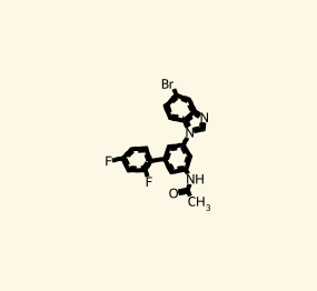 CC(=O)Nc1cc(-c2ccc(F)cc2F)cc(-n2cnc3cc(Br)ccc32)c1